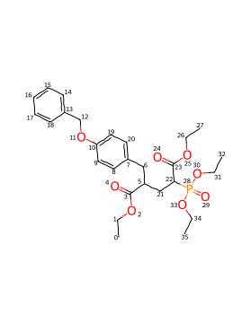 CCOC(=O)C(Cc1ccc(OCc2ccccc2)cc1)CC(C(=O)OCC)P(=O)(OCC)OCC